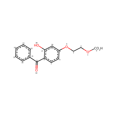 O=C(O)OCCOc1ccc(C(=O)c2ccccc2)c(O)c1